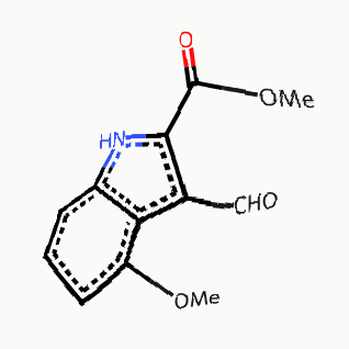 COC(=O)c1[nH]c2cccc(OC)c2c1C=O